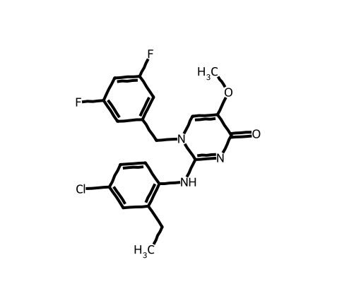 CCc1cc(Cl)ccc1Nc1nc(=O)c(OC)cn1Cc1cc(F)cc(F)c1